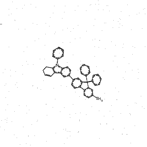 Bc1ccc2c(c1)C(c1ccccc1)(c1ccccc1)c1cc(-c3ccc4c(c3)c3c(n4-c4ccccc4)CCC=C3)ccc1-2